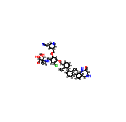 Cc1c(COc2cc(OCc3cncc(C#N)c3)c(CN[C@@](C)(CO)C(=O)O)cc2Cl)cccc1-c1cccc(-c2ccc3c(c2)NC(=O)CNC3)c1C